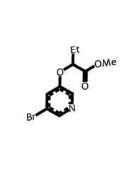 CCC(Oc1cncc(Br)c1)C(=O)OC